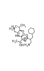 CC(C)C(=O)[C@H](CN)NC(=O)[C@@H](NC(=O)C(CN)CC1CCCCC1)[C@H](C)O